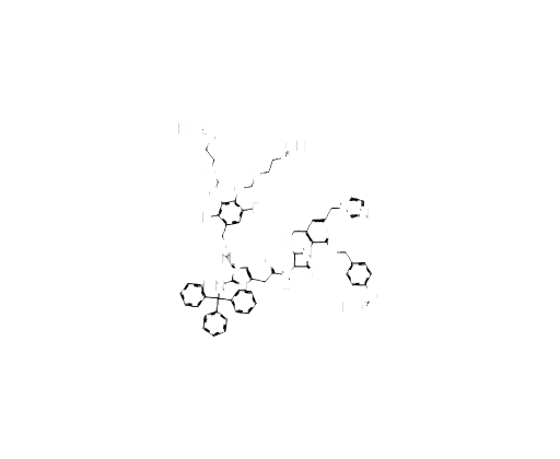 COCCOCOc1c(F)cc(CON=S2C=C(CC(=O)NC3C(=O)N4C(C(=O)OCc5ccc(OC)cc5)=C(C=CCn5ccnc5)CSC34)N=C2NC(c2ccccc2)(c2ccccc2)c2ccccc2)c(F)c1OCOCCOC